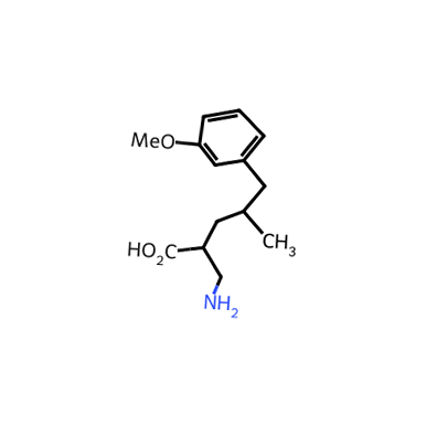 COc1cccc(CC(C)CC(CN)C(=O)O)c1